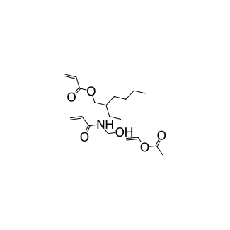 C=CC(=O)NCO.C=CC(=O)OCC(CC)CCCC.C=COC(C)=O